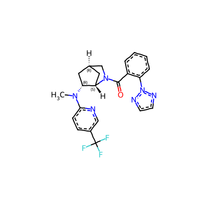 CN(c1ccc(C(F)(F)F)cn1)[C@@H]1C[C@@H]2C[C@@H]1N(C(=O)c1ccccc1-n1nccn1)C2